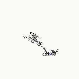 CCCC(CC)(CC)C(=O)OCCOC(=O)CCCSCCN1C(=O)CC[C@@H]1/C=C/[C@@H](O)Cc1ccc(F)cc1